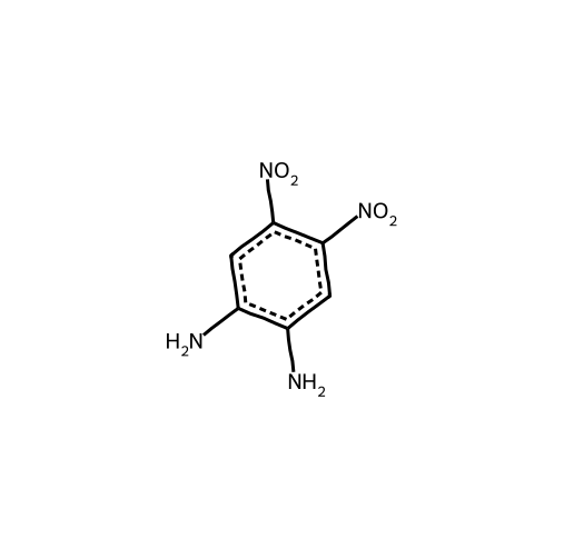 Nc1cc([N+](=O)[O-])c([N+](=O)[O-])cc1N